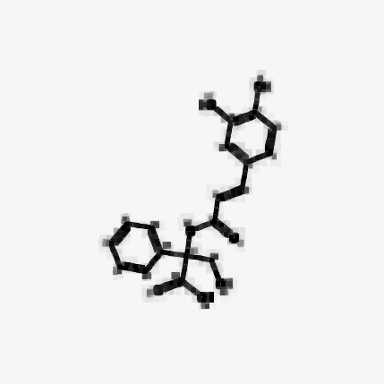 O=C(C=Cc1ccc(O)c(O)c1)OC(CO)(C(=O)O)c1ccccc1